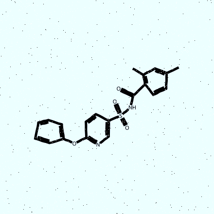 Cc1ccc(C(=O)NS(=O)(=O)c2ccc(Oc3ccccc3)nc2)c(C)c1